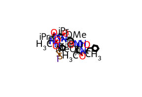 CC[C@H](C)[C@@H]([C@@H](CC(=O)N1CCC[C@H]1[C@H](OC)[C@@H](C)C(=O)N[C@H](C)C(=O)c1ccccc1)OC)N(C)C(=O)[C@@H](NC(=O)[C@H](C(C)C)N(C)C(=O)O[C@H]1CCC[C@@H]1SSI)C(C)C